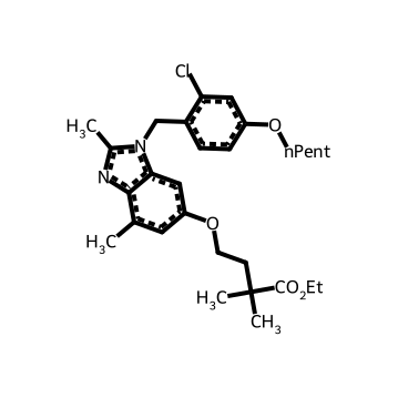 CCCCCOc1ccc(Cn2c(C)nc3c(C)cc(OCCC(C)(C)C(=O)OCC)cc32)c(Cl)c1